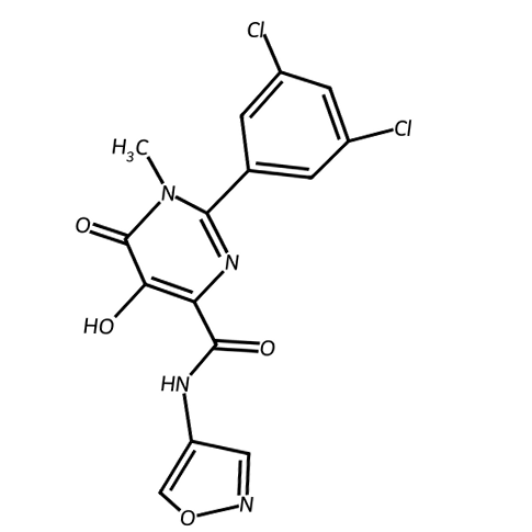 Cn1c(-c2cc(Cl)cc(Cl)c2)nc(C(=O)Nc2cnoc2)c(O)c1=O